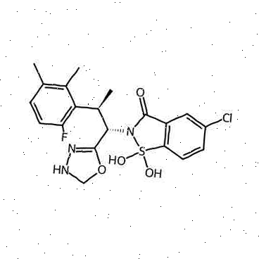 Cc1ccc(F)c([C@@H](C)[C@@H](C2=NNCO2)N2C(=O)c3cc(Cl)ccc3S2(O)O)c1C